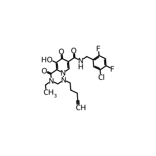 C#CCCCN1CN(CC)C(=O)c2c(O)c(=O)c(C(=O)NCc3cc(Cl)c(F)cc3F)cn21